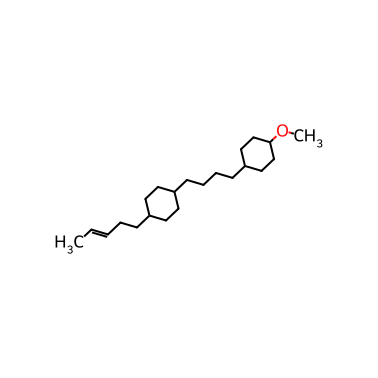 C/C=C/CCC1CCC(CCCCC2CCC(OC)CC2)CC1